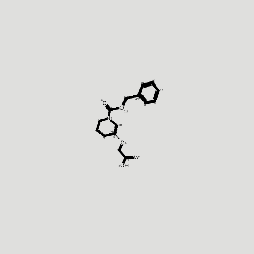 O=C(O)CO[C@@H]1CCCN(C(=O)OCc2ccccc2)C1